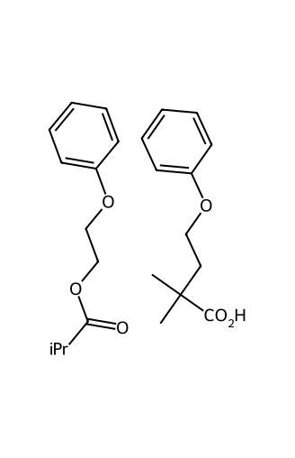 CC(C)(CCOc1ccccc1)C(=O)O.CC(C)C(=O)OCCOc1ccccc1